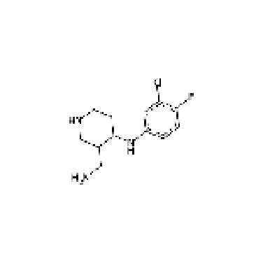 NCC1CNCCC1Nc1ccc(F)c(Cl)c1